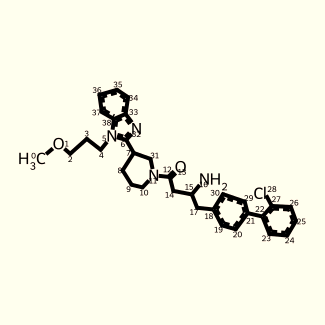 COCCCn1c(C2CCCN(C(=O)CC(N)Cc3ccc(-c4ccccc4Cl)cc3)C2)nc2ccccc21